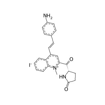 C[n+]1c(C(=O)[C@@H]2CCC(=O)N2)cc(C=Cc2ccc(N)cc2)c2ccccc21.[I-]